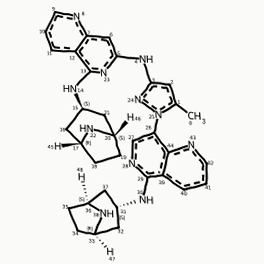 Cc1cc(Nc2cc3ncccc3c(N[C@@H]3C[C@H]4CC[C@@H](C3)N4)n2)nn1-c1cnc(N[C@@H]2C[C@H]3CC[C@@H](C2)N3)c2cccnc12